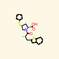 C[C@@H](Cc1cc2ccccc2s1)C(=O)N1C[C@@H](Sc2ccccc2)C[C@H]1C(=O)O